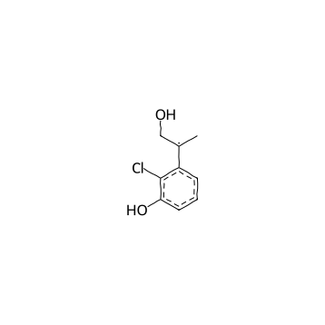 C[C](CO)c1cccc(O)c1Cl